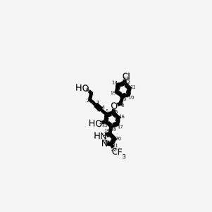 OCCC#Cc1c(OCc2ccc(Cl)cc2)ccc(-c2cc(C(F)(F)F)n[nH]2)c1O